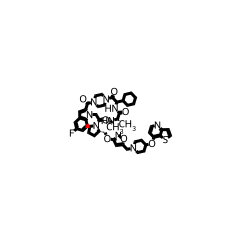 CN[C@@H](C)C(=O)NC(C(=O)N1CCN(C(=O)c2cc3cc(F)ccc3n2CC(=O)N2CCC[C@H]2COc2cc(CN3CCC(Oc4ccnc5ccsc45)CC3)on2)CC1)C1CCCCC1